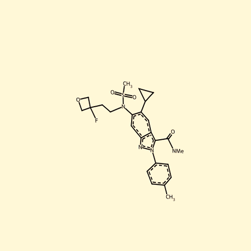 CNC(=O)c1c2cc(C3CC3)c(N(CCC3(F)COC3)S(C)(=O)=O)cc2nn1-c1ccc(C)cc1